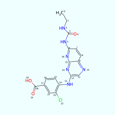 CCNC(=O)Nc1ccc2ncc(Nc3ccc(C(=O)O)cc3Cl)nc2n1